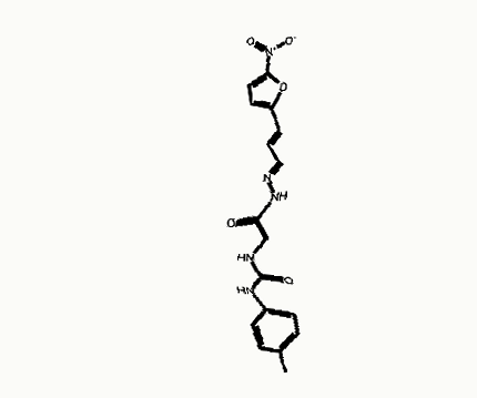 Cc1ccc(NC(=O)NCC(=O)N/N=C/C=C/c2ccc([N+](=O)[O-])o2)cc1